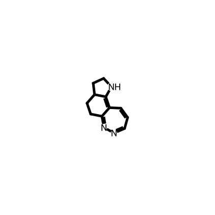 C1=CC2=C3NCCC3CCC2=NN=C1